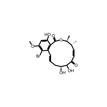 COc1cc(O)c2c(c1Br)/C=C/C[C@H](O)C(O)C(=O)/C=C\[C@@H](C)[C@H](C)OC2=O